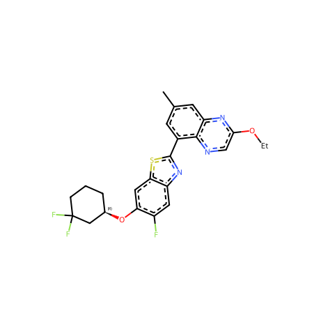 CCOc1cnc2c(-c3nc4cc(F)c(O[C@@H]5CCCC(F)(F)C5)cc4s3)cc(C)cc2n1